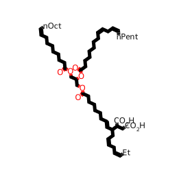 CC/C=C\C/C=C\CC(/C=C/CCCCCCC(=O)OCC(COC(=O)CCCCCCC/C=C\CCCCCCCC)OC(=O)CCCCCCC/C=C\C/C=C\CCCCC)C(CC(=O)O)C(=O)O